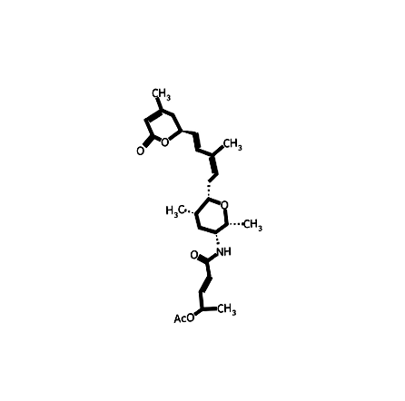 CC(=O)OC(C)C=CC(=O)N[C@@H]1C[C@H](C)[C@H](CC=C(C)C=C[C@@H]2CC(C)=CC(=O)O2)O[C@@H]1C